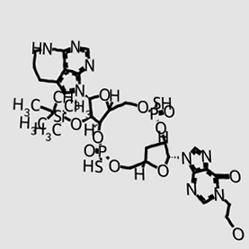 CC(C)(C)[Si](C)(C)O[C@@H]1[C@@H]2OP(=O)(S)OC[C@@H]3C[C@@H](OP(=O)(S)OC[C@H]2O[C@H]1n1cc2c4c(ncnc41)NCCC2)[C@H](n1cnc2c(=O)n(CCO)cnc21)O3